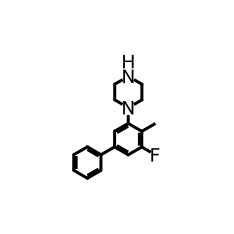 Cc1c(F)cc(-c2ccccc2)cc1N1CCNCC1